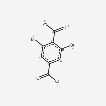 O=C(Cl)c1cc(Br)c(C(=O)Cl)c(Br)c1